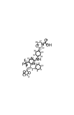 COC(=O)CC(Cc1ccccc1)c1nc(Nc2ccc(C3CN(C(=O)O)CCO3)cc2)ncc1C(F)(F)F